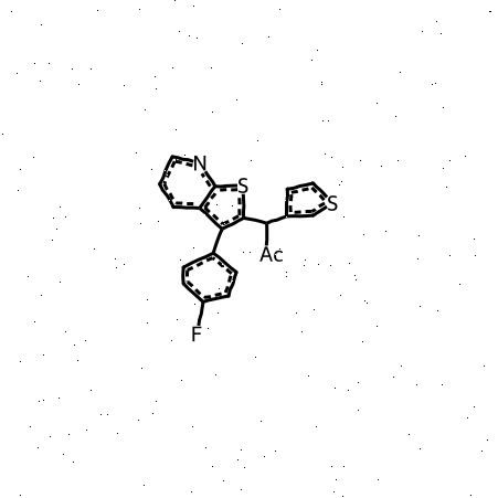 CC(=O)C(c1ccsc1)c1sc2ncccc2c1-c1ccc(F)cc1